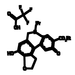 CCOC(=O)c1cn2c(cc1=O)-c1c(cc(O)c3c1CCO3)CN2C(C)C.O=C(O)C(F)(F)F